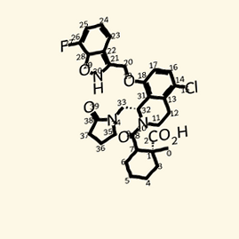 C[C@@]1(C(=O)O)CCCCC1C(=O)N1CCc2c(Cl)ccc(OCC3=C4C=CC=C(F)C4ON3)c2[C@H]1CN1CCCC1=O